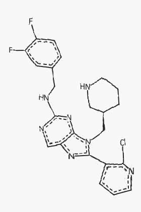 Fc1ccc(CNc2ncc3nc(-c4cccnc4Cl)n(C[C@@H]4CCCNC4)c3n2)cc1F